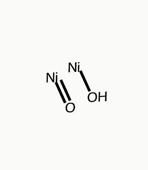 [OH][Ni].[O]=[Ni]